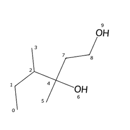 CCC(C)C(C)(O)CCO